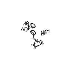 O=P(O)(O)OCn1c[c]cn1.[NaH]